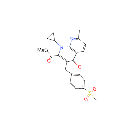 COC(=O)c1c(Cc2ccc(S(C)(=O)=O)cc2)c(=O)c2ccc(C)nc2n1C1CC1